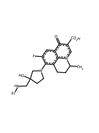 CCNCC1(O)CCN(c2c(F)cc3c(=O)c(C(=O)O)cn4c3c2CCC4C)C1